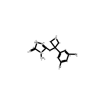 Cn1c(CC2(c3cc(Br)cc(Br)c3)COC2)n[nH]c1=S